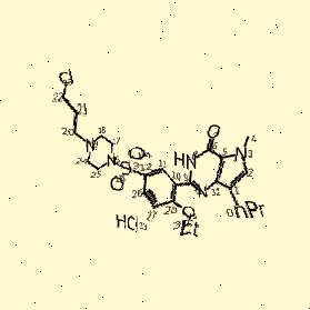 CCCc1cn(C)c2c(=O)[nH]c(-c3cc(S(=O)(=O)N4CCN(CCCCl)CC4)ccc3OCC)nc12.Cl